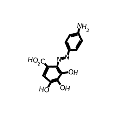 Nc1ccc(/N=N/c2c(C(=O)O)cc(O)c(O)c2O)cc1